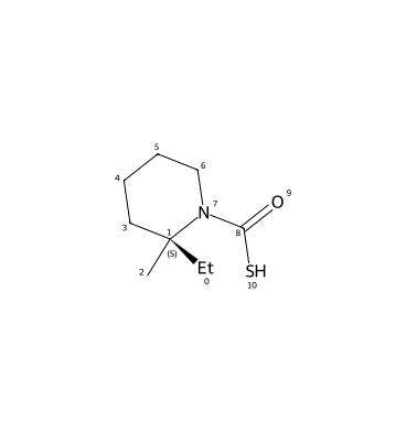 CC[C@@]1(C)CCCCN1C(=O)S